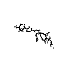 CCCC12COC(c3ccc(-c4cc(F)c(-c5cc(F)c(C(F)(F)OC(F)(F)F)c(F)c5)c(F)c4)cc3)(OC1)O2